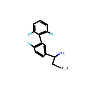 NC(CC(=O)O)c1ccc(F)c(-c2c(F)cccc2F)c1